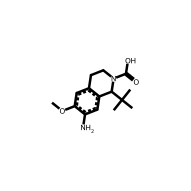 COc1cc2c(cc1N)C(C(C)(C)C)N(C(=O)O)CC2